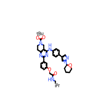 CC(C)CNC(=O)COc1cccc(-c2nc3c(c(Nc4ccc(-c5cnn(C6CCCCO6)c5)cc4)n2)CN(C(=O)OC(C)(C)C)CC3)c1